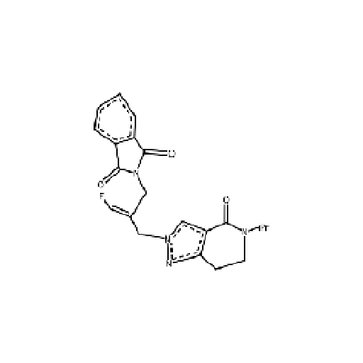 CC(C)N1CCc2nn(C/C(=C/F)CN3C(=O)c4ccccc4C3=O)cc2C1=O